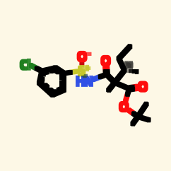 CC[C@H](C)C(C)(C(=O)N[S+]([O-])c1cccc(Cl)c1)C(=O)OC(C)(C)C